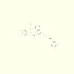 N#Cc1ccc2c3c(n(C(=O)NCc4ccnc(C(F)(F)F)c4)c2c1)CCN(C/C=C/c1ccc(Cl)c(F)c1)C3